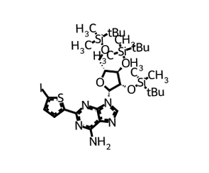 CC(C)(C)[Si](C)(C)OC[C@H]1O[C@@H](n2cnc3c(N)nc(-c4ccc(I)s4)nc32)[C@@H](O[Si](C)(C)C(C)(C)C)[C@@H]1O[Si](C)(C)C(C)(C)C